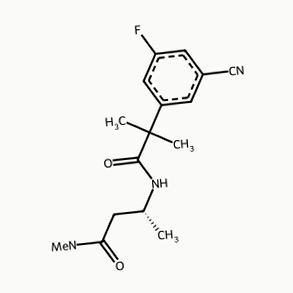 CNC(=O)C[C@@H](C)NC(=O)C(C)(C)c1cc(F)cc(C#N)c1